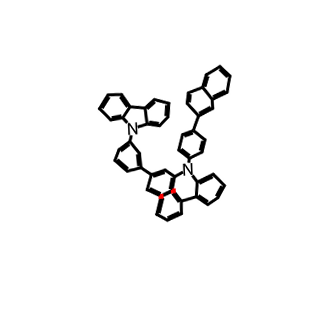 c1ccc(-c2ccccc2N(c2ccc(-c3ccc4ccccc4c3)cc2)c2cccc(-c3cccc(-n4c5ccccc5c5ccccc54)c3)c2)cc1